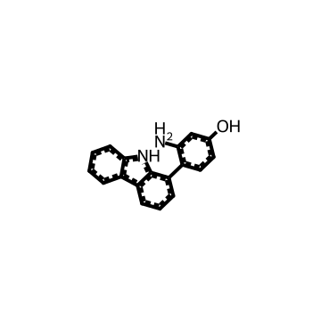 Nc1cc(O)ccc1-c1cccc2c1[nH]c1ccccc12